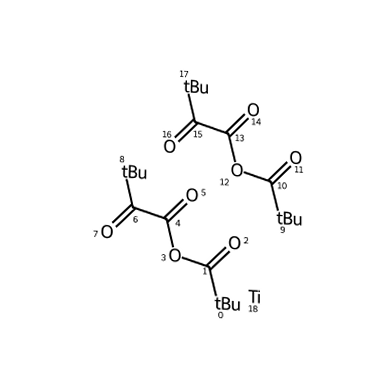 CC(C)(C)C(=O)OC(=O)C(=O)C(C)(C)C.CC(C)(C)C(=O)OC(=O)C(=O)C(C)(C)C.[Ti]